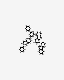 C1=CC2Oc3c(-c4cccc5c4oc4ccccc45)cccc3C2C(c2nc(-c3ccccc3)nc(-c3ccc4cc(-c5ccccc5)ccc4c3)n2)=C1